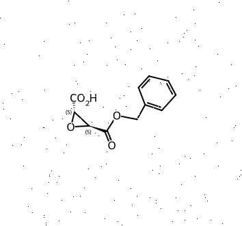 O=C(O)[C@H]1O[C@@H]1C(=O)OCc1ccccc1